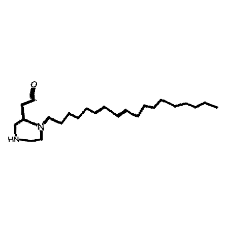 CCCCCCCCCCCCCCCCCCN1CCNCC1C[C]=O